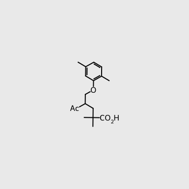 CC(=O)C(COc1cc(C)ccc1C)CC(C)(C)C(=O)O